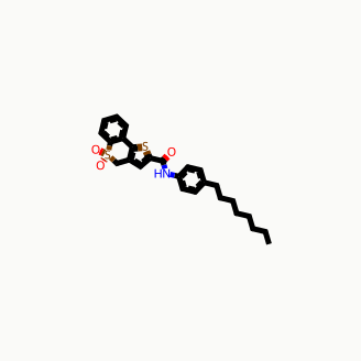 CCCCCCCCc1ccc(NC(=O)c2cc3c(s2)-c2ccccc2S(=O)(=O)C3)cc1